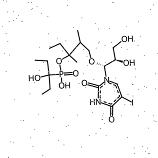 CCC(C)(OP(=O)(O)C(O)(CC)CC)C(C)CO[C@H]([C@H](O)CO)n1cc(I)c(=O)[nH]c1=O